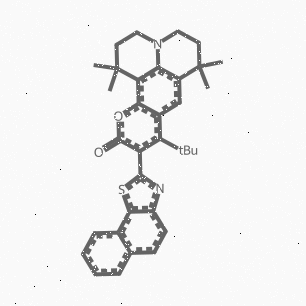 CC(C)(C)c1c(-c2nc3ccc4ccccc4c3s2)c(=O)oc2c3c4c(cc12)C(C)(C)CCN4CCC3(C)C